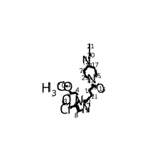 COC(=O)Cn1c(Cl)cnc1CCC(=O)N1CCC(N=CI)CC1